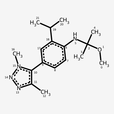 COC(C)(C)Nc1ccc(-c2c(C)nnn2C)cc1C(C)C